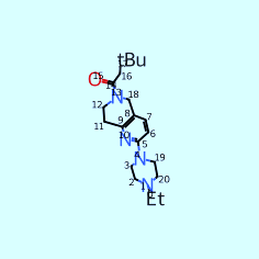 CCN1CCN(c2ccc3c(n2)CCN(C(=O)CC(C)(C)C)C3)CC1